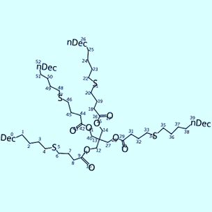 CCCCCCCCCCCCCCSCCCC(=O)OCC(COC(=O)CCCSCCCCCCCCCCCCCC)(COC(=O)CCCSCCCCCCCCCCCCCC)COC(=O)CCCSCCCCCCCCCCCCCC